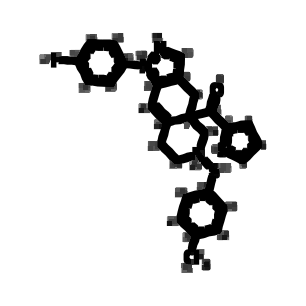 O=C(c1cccs1)C12Cc3cnn(-c4ccc(F)cc4)c3C=C1CCN(Sc1ccc(C(F)(F)F)cc1)C2